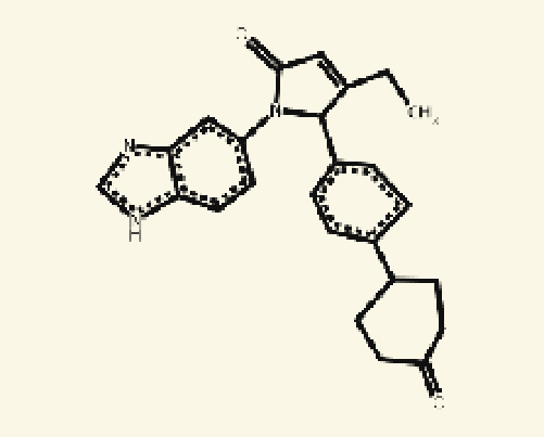 CCC1=CC(=O)N(c2ccc3[nH]cnc3c2)C1c1ccc(C2CCC(=O)CC2)cc1